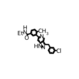 CCNC(=O)c1ccc(C)c(-c2cc3[nH]nc(Cc4cccc(Cl)c4)c3cn2)c1